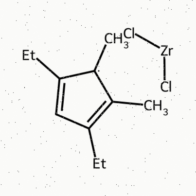 CCC1=CC(CC)=C(C)[C]1C.[Cl][Zr][Cl]